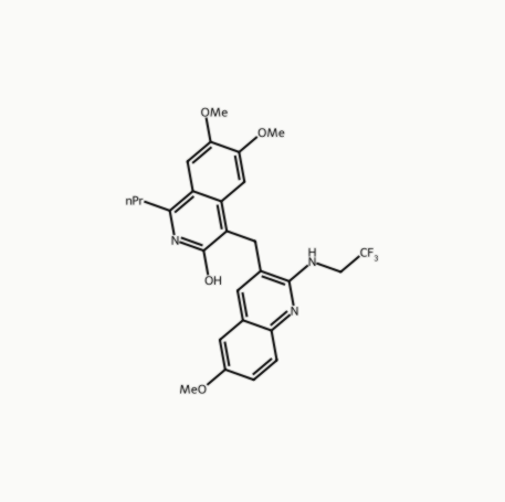 CCCc1nc(O)c(Cc2cc3cc(OC)ccc3nc2NCC(F)(F)F)c2cc(OC)c(OC)cc12